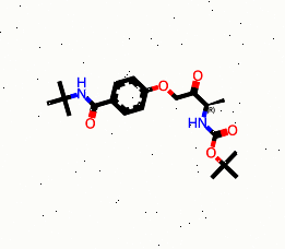 C[C@@H](NC(=O)OC(C)(C)C)C(=O)COc1ccc(C(=O)NC(C)(C)C)cc1